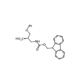 CC(C)OC[C@@H](CNC(=O)OCC1c2ccccc2-c2ccccc21)C(=O)O